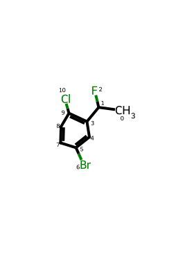 CC(F)c1cc(Br)ccc1Cl